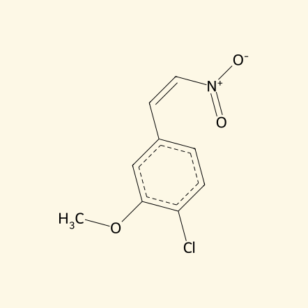 COc1cc(/C=C\[N+](=O)[O-])ccc1Cl